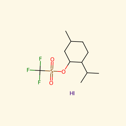 CC1CCC(C(C)C)C(OS(=O)(=O)C(F)(F)F)C1.I